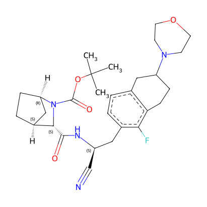 CC(C)(C)OC(=O)N1[C@@H]2CC[C@@H](C2)[C@H]1C(=O)N[C@H](C#N)Cc1ccc2c(c1F)CCC(N1CCOCC1)C2